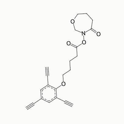 C#Cc1cc(C#C)c(OCCCCC(=O)ON2COCCCC2=O)c(C#C)c1